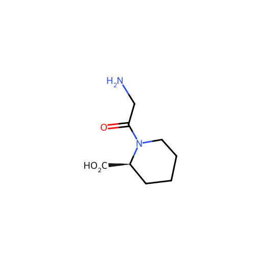 NCC(=O)N1CCCC[C@H]1C(=O)O